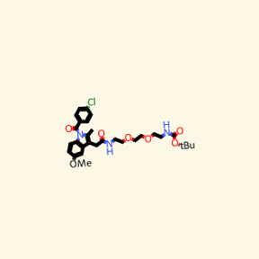 COc1ccc2c(c1)c(CC(=O)NCCOCCOCCNC(=O)OC(C)(C)C)c(C)n2C(=O)c1ccc(Cl)cc1